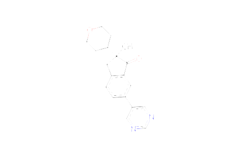 CC1(C2CCOCC2)Cc2ccc(-c3cncnc3)cc2C1=O